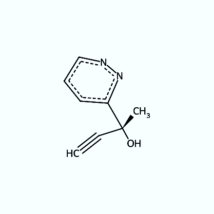 C#C[C@@](C)(O)c1cccnn1